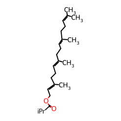 CC(C)=CCC/C(C)=C/CC/C(C)=C/CC/C(C)=C/COC(=O)C(C)C